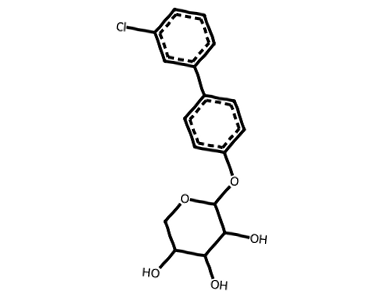 OC1COC(Oc2ccc(-c3cccc(Cl)c3)cc2)C(O)C1O